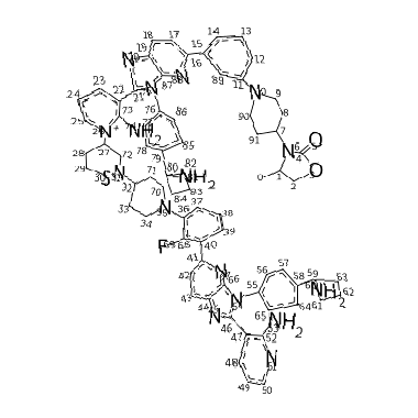 CC1COC(=O)N1C1CCN(c2cccc(-c3ccc4nc(-c5ccc[n+](C6CCSN(C7CCN(c8cccc(-c9ccc%10nc(-c%11cccnc%11N)n(-c%11ccc(C%12(N)CCC%12)cc%11)c%10n9)c8F)CC7)C6)c5N)n(-c5ccc(C6(N)CCC6)cc5)c4n3)c2)CC1